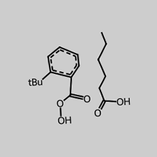 CC(C)(C)c1ccccc1C(=O)OO.CCCCCC(=O)O